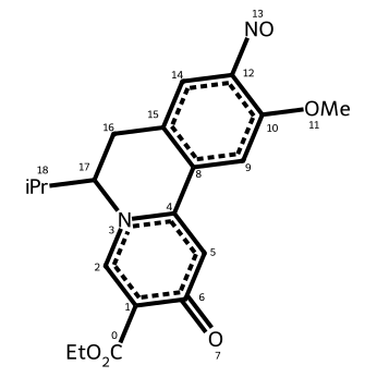 CCOC(=O)c1cn2c(cc1=O)-c1cc(OC)c(N=O)cc1CC2C(C)C